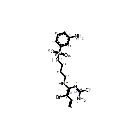 C=C/C(Br)=C(\N=C(/N)Cl)NCCCNS(=O)(=O)c1cccc(N)c1